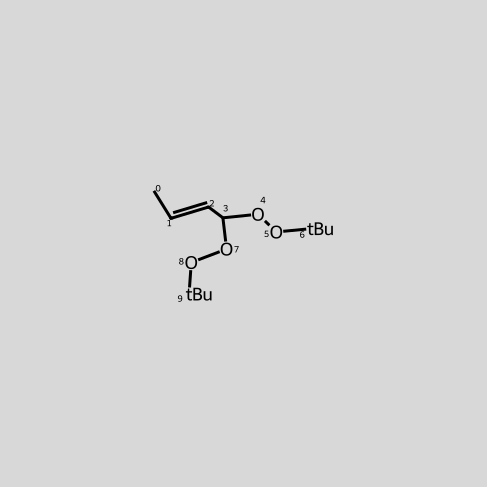 CC=CC(OOC(C)(C)C)OOC(C)(C)C